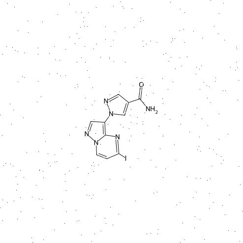 NC(=O)c1cnn(-c2cnn3ccc(I)nc23)c1